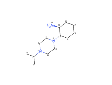 CC(C)N1CCN([C@H]2CCCC[C@@H]2N)CC1